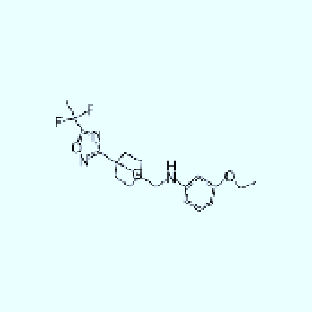 CCOc1cccc(NCC23CCC(c4noc(C(C)(F)F)n4)(CC2)CC3)c1